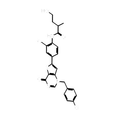 CC(CCO)C(=O)Nc1ccc(-c2cc3c(s2)c(=O)ncn3Cc2ccc(Cl)cc2)cc1Cl